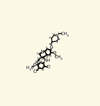 CCN1CCC(COc2cc3ncc(C#N)c(Nc4cc(OC)c(Cl)cc4Cl)c3cc2OC)CC1